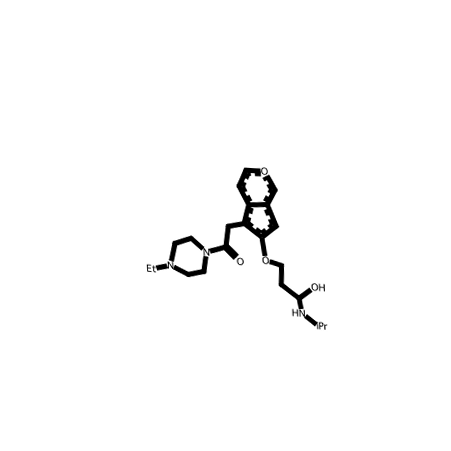 CCN1CCN(C(=O)Cc2c(OCCC(O)NC(C)C)cc3coccc2-3)CC1